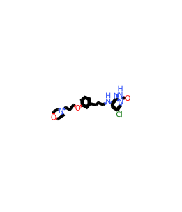 O=c1[nH]nc2c(NCCCc3cccc(OCCCN4CCOCC4)c3)cc(Cl)cn12